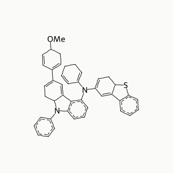 COC1C=CC(C2=CCC3C(=C2)c2c(N(C4=CCCC=C4)C4=CCC5Sc6ccccc6C5=C4)cccc2N3c2ccccc2)=CC1